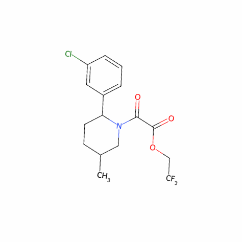 CC1CCC(c2cccc(Cl)c2)N(C(=O)C(=O)OCC(F)(F)F)C1